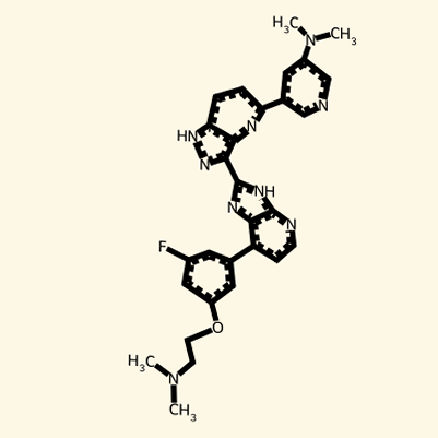 CN(C)CCOc1cc(F)cc(-c2ccnc3[nH]c(-c4n[nH]c5ccc(-c6cncc(N(C)C)c6)nc45)nc23)c1